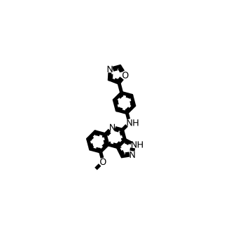 COc1cccc2nc(Nc3ccc(-c4cnco4)cc3)c3[nH]ncc3c12